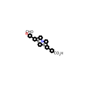 O=COc1ccc(-c2ccc3c(c2)-c2cccc4c2B3c2cccc3c2N4c2cccc4c2B3c2ccc(-c3ccc(C(=O)O)cc3)cc2-4)cc1